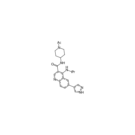 CC(=O)N1CCC(NC(=O)c2cnc3ccc(-c4cn[nH]c4)cc3c2NC(C)C)CC1